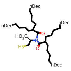 CCCCCCCCCCCCCCC(CCCCCCCCCCCCCC)C(=O)N(C(=O)C(CCCCCCCCCCCCCC)CCCCCCCCCCCCCC)[C@@H](CS)C(=O)O